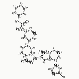 Cc1cn(-c2cncc3[nH]c(-c4n[nH]c5ccc(-c6cncc(NC(=O)Cc7ccccc7)c6)cc45)cc23)cn1